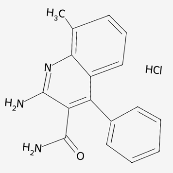 Cc1cccc2c(-c3ccccc3)c(C(N)=O)c(N)nc12.Cl